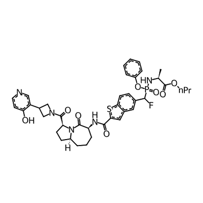 CCCOC(=O)[C@H](C)NP(=O)(Oc1ccccc1)C(F)c1ccc2sc(C(=O)N[C@H]3CCC[C@H]4CC[C@@H](C(=O)N5CC(c6cnccc6O)C5)N4C3=O)cc2c1